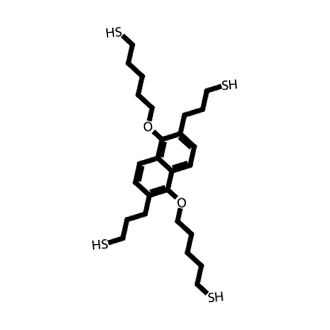 SCCCCCOc1c(CCCS)ccc2c(OCCCCCS)c(CCCS)ccc12